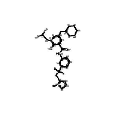 Cn1cnnc1CC(C)(C)c1cccc(NC(=O)c2cc(CN3CCCCC3)cn(CC(F)F)c2=O)c1